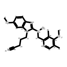 COc1ccc2nc([S+]([O-])Cc3ncc(C)c(OC)c3C)n(CCCC#N)c2c1